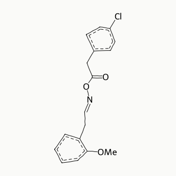 COc1ccccc1C/C=N/OC(=O)Cc1ccc(Cl)cc1